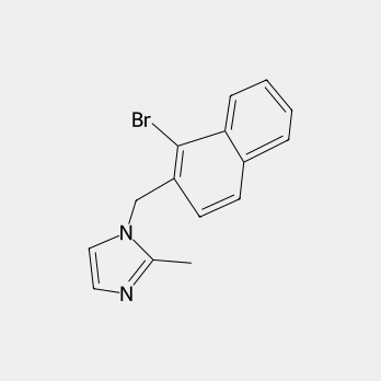 Cc1nccn1Cc1ccc2ccccc2c1Br